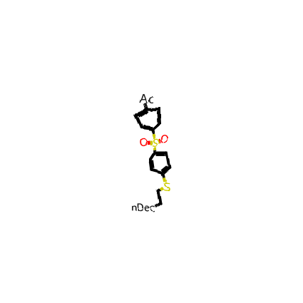 CCCCCCCCCCCCSc1ccc(S(=O)(=O)c2ccc(C(C)=O)cc2)cc1